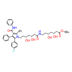 CC(C)c1c(C(=O)Nc2ccccc2)c(-c2ccccc2)c(-c2ccc(F)cc2)n1CC[C@@H](O)C[C@@H](O)CC(=O)NCC[C@@H](O)C[C@@H](O)CC(=O)OC(C)(C)C